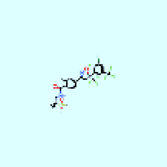 Cc1cc(C2=NO[C@](c3cc(C(F)(F)F)cc(Cl)c3F)(C(F)(F)F)C2)ccc1C(=O)NCC1(S(C)(=O)=O)CC1